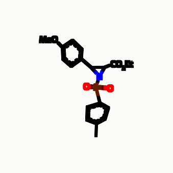 CCOC(=O)C1C(c2ccc(OC)cc2)N1S(=O)(=O)c1ccc(C)cc1